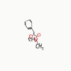 CCOC(=O)C(=Cc1ccccc1)OC